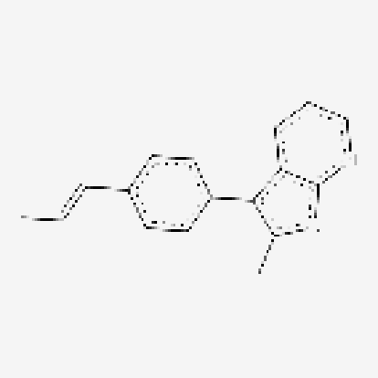 C/C=C/c1ccc(-c2c(C)[nH]c3ncccc23)cc1